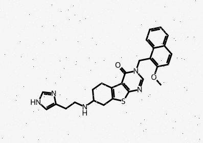 COc1ccc2ccccc2c1Cn1cnc2sc3c(c2c1=O)CCC(NCCc1c[nH]cn1)C3